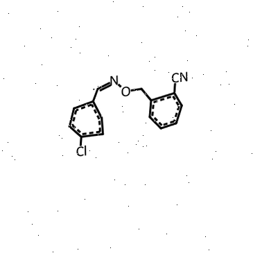 N#Cc1ccccc1CO/N=[C]\c1ccc(Cl)cc1